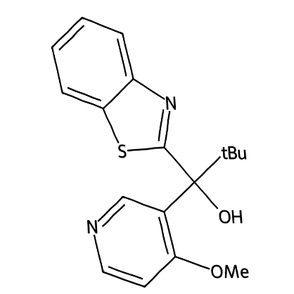 COc1ccncc1C(O)(c1nc2ccccc2s1)C(C)(C)C